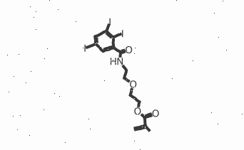 C=C(C)C(=O)OCCOCCNC(=O)c1cc(I)cc(I)c1I